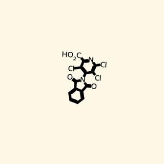 O=C(O)c1nc(Cl)c(Cl)c(N2C(=O)c3ccccc3C2=O)c1Cl